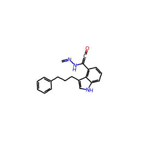 C=NNC(=C=O)c1cccc2[nH]cc(CCCc3ccccc3)c12